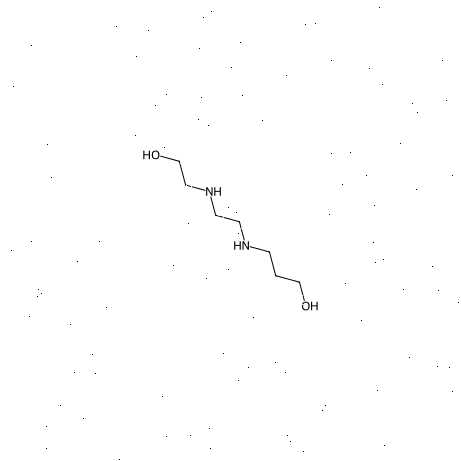 OCCCNCCNCCO